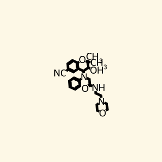 CC1(C)Oc2ccc(C#N)cc2C(N(CC(=O)NCCN2CCOCC2)c2ccccc2)C1O